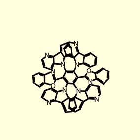 c1ccc2oc(-c3c(-n4c5ccccc5c5ncccc54)c(-n4c5ccccc5c5ncccc54)c(-c4nc5ccccc5o4)c(-n4c5ccccc5c5ncccc54)c3-n3c4ccccc4c4ncccc43)nc2c1